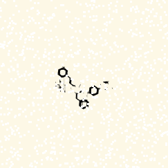 O=C(/C=C/c1cc(Cl)ccc1-n1cnnn1)NC(Cc1ccccc1)C(=O)Nc1ccc(-n2ccnc2)cc1